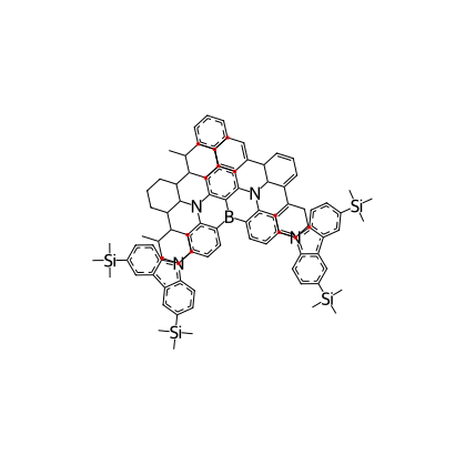 CC1CCCCC1C1CCCC(C2CCCCC2C)C1N1c2cc(-n3c4ccc([Si](C)(C)C)cc4c4cc([Si](C)(C)C)ccc43)ccc2B2c3ccc(-n4c5ccc([Si](C)(C)C)cc5c5cc([Si](C)(C)C)ccc54)cc3N(C3C(C4=CC=CCC4)=CC=CC3C3=CCCC=C3)c3cc(-c4ccccc4)cc1c32